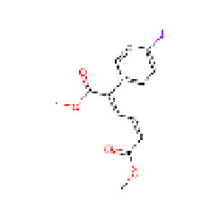 COC(=O)/C=C\C=C(\C(=O)OC)c1ccc(I)cc1